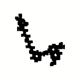 CNc1ncc(C#Cc2cc(OCCCOCCCNC(=O)OC(C)(C)C)ccn2)c2nc(SC)ncc12